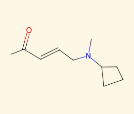 CC(=O)/C=C/CN(C)C1CCC1